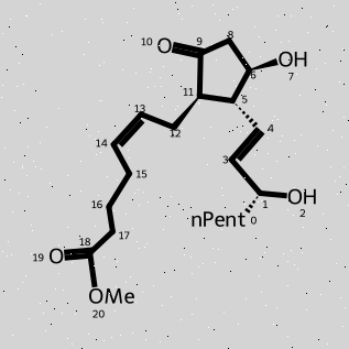 CCCCC[C@@H](O)/C=C/[C@H]1[C@H](O)CC(=O)[C@@H]1C/C=C\CCCC(=O)OC